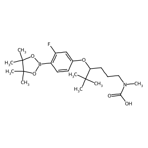 CN(CCCC(Oc1ccc(B2OC(C)(C)C(C)(C)O2)c(F)c1)C(C)(C)C)C(=O)O